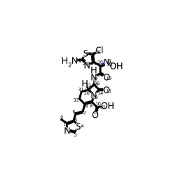 Cc1ncsc1C=CC1=C(C(=O)O)N2C(=O)[C@@H](NC(=O)/C(=N\O)c3nc(N)sc3Cl)[C@H]2CC1